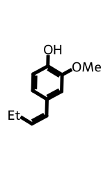 CC/C=C\c1ccc(O)c(OC)c1